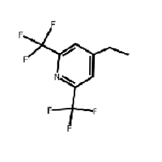 CCc1cc(C(F)(F)F)nc(C(F)(F)F)c1